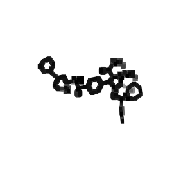 CC#CC(=O)N1CCCC[C@H]1c1nc(-c2ccc(C(=O)Nc3cc(-c4ccccc4)ccn3)cc2)c(C(N)=O)n1N